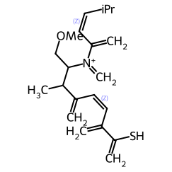 C=C(S)C(=C)/C=C\C(=C)C(C)C(COC)[N+](=C)C(=C)/C=C\C(C)C